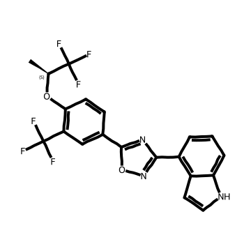 C[C@H](Oc1ccc(-c2nc(-c3cccc4[nH]ccc34)no2)cc1C(F)(F)F)C(F)(F)F